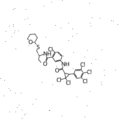 CCC(CSC1CCCCO1)NC(=O)c1cc(NC(=O)C2C(c3cc(Cl)c(Cl)c(Cl)c3)C2(Cl)Cl)ccc1Cl